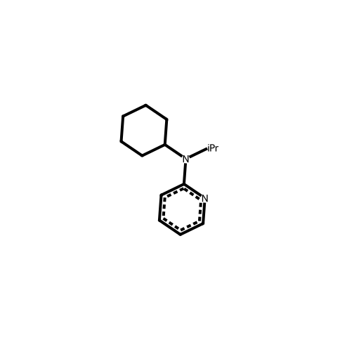 CC(C)N(c1ccccn1)C1CCCCC1